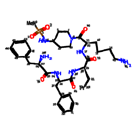 CNS(=O)(=O)NC1CCN(C(=O)[C@@H](CCCCN)NC(=O)[C@@H](CC(C)C)NC(=O)[C@@H](Cc2ccccc2)NC(=O)[C@H](N)Cc2ccccc2)CC1